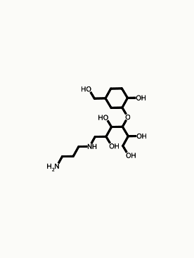 NCCCNCC(O)C(O)C(OC1CC(CO)CCC1O)C(O)CO